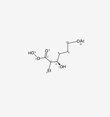 CCC(C(=O)OO)[C@H](O)CCCOC(C)=O